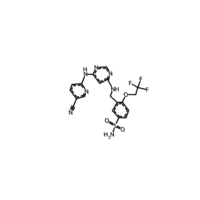 N#Cc1ccc(Nc2cc(NCc3cc(S(N)(=O)=O)ccc3OCC(F)(F)F)ncn2)nc1